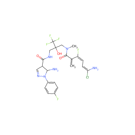 C=C(C(=O)N(C)CC(O)(CNC(=O)C1C=NN(c2ccc(F)cc2)C1N)C(F)(F)F)/C(F)=C\C=C(/N)Cl